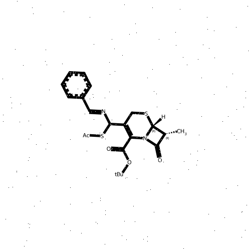 CC(=O)SC(N=Cc1ccccc1)C1=C(C(=O)OC(C)(C)C)N2C(=O)[C@@H](C)[C@H]2SC1